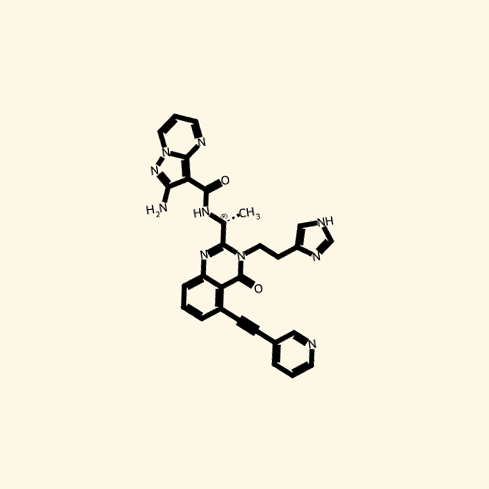 C[C@@H](NC(=O)c1c(N)nn2cccnc12)c1nc2cccc(C#Cc3cccnc3)c2c(=O)n1CCc1c[nH]cn1